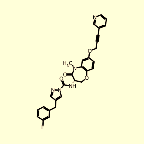 CN1C(=O)[C@@H](NC(=O)n2cc(Cc3cccc(F)c3)cn2)COc2ccc(OCC#Cc3cccnc3)cc21